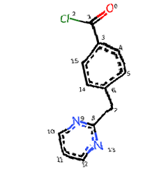 O=C(Cl)c1ccc(Cc2ncccn2)cc1